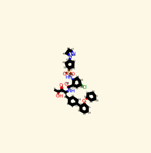 CC(O)C(=O)[C@H](Cc1ccc(-c2ccccc2Oc2ccccc2)cc1)NC(=O)c1cc(Cl)ccc1NS(=O)(=O)c1ccc(-n2cccn2)cc1